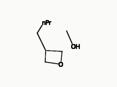 CCCCC1COC1.CO